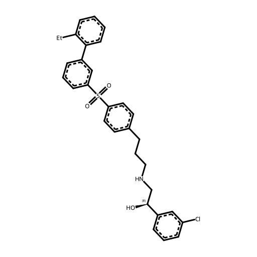 CCc1ccccc1-c1cccc(S(=O)(=O)c2ccc(CCCNC[C@H](O)c3cccc(Cl)c3)cc2)c1